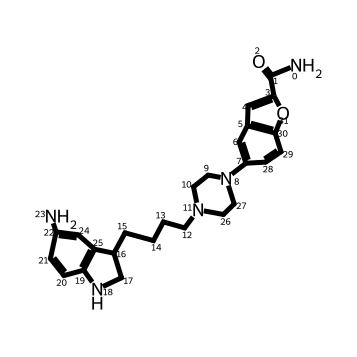 NC(=O)c1cc2cc(N3CCN(CCCCC4CNc5ccc(N)cc54)CC3)ccc2o1